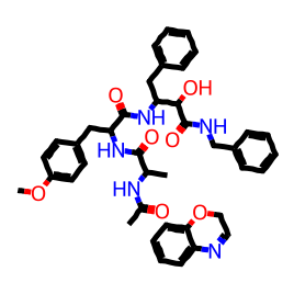 C1=Nc2ccccc2OC1.COc1ccc(CC(NC(=O)C(C)NC(C)=O)C(=O)NC(Cc2ccccc2)C(O)C(=O)NCc2ccccc2)cc1